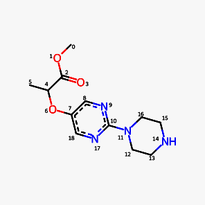 COC(=O)C(C)Oc1cnc(N2CCNCC2)nc1